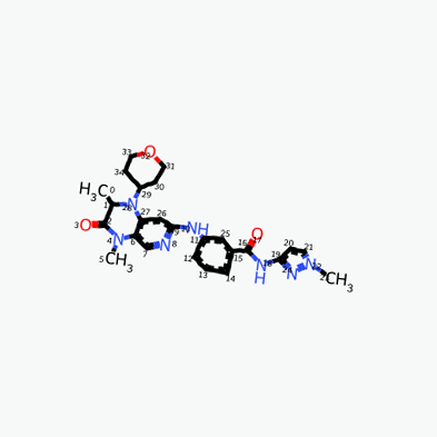 CC1C(=O)N(C)c2cnc(Nc3cccc(C(=O)Nc4ccn(C)n4)c3)cc2N1C1CCOCC1